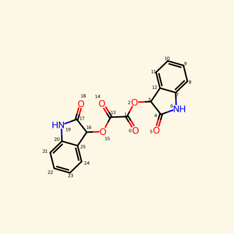 O=C(OC1C(=O)Nc2ccccc21)C(=O)OC1C(=O)Nc2ccccc21